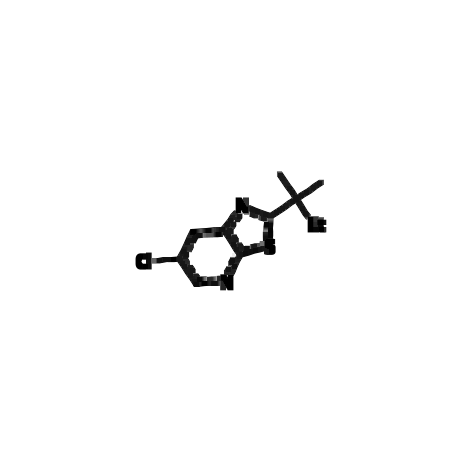 CCC(C)(C)c1nc2cc(Cl)cnc2s1